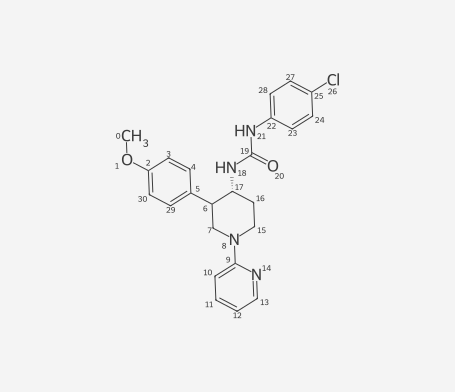 COc1ccc(C2CN(c3ccccn3)CC[C@H]2NC(=O)Nc2ccc(Cl)cc2)cc1